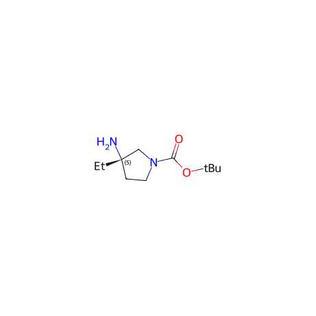 CC[C@]1(N)CCN(C(=O)OC(C)(C)C)C1